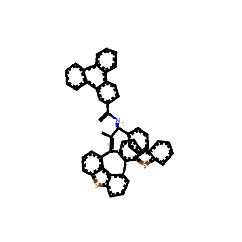 C=C(/N=C(\C(C)=C(/C)c1cccc2sc3cccc(-c4cccc5c4sc4ccccc45)c3c12)c1ccccc1)c1ccc2c3ccccc3c3ccccc3c2c1